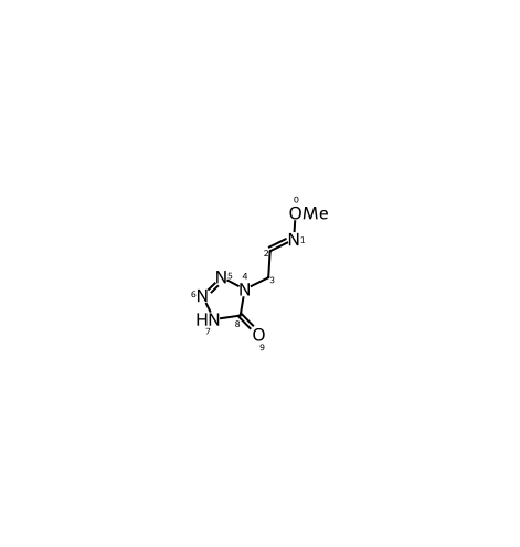 CON=CCn1nn[nH]c1=O